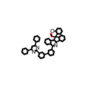 c1ccc(-c2cc(-c3ccccc3)nc(-c3cccc(-c4cccc(-c5nc6c(c7ccccc57)C5(c7ccccc7Oc7ccccc75)c5ccccc5-6)c4)c3)n2)cc1